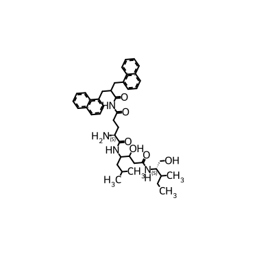 CCC(C)[C@@H](CO)NC(=O)CC(O)C(CC(C)C)NC(=O)[C@@H](N)CCC(=O)NC(=O)C(Cc1cccc2ccccc12)Cc1cccc2ccccc12